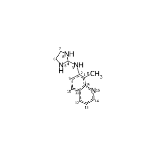 Cc1c(NC2NCCN2)ccc2cccnc12